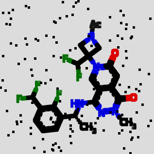 CC(=O)N1CC(C(F)F)(n2cc3c(N[C@H](C)c4cccc(C(F)F)c4F)nn(C)c(=O)c3cc2=O)C1